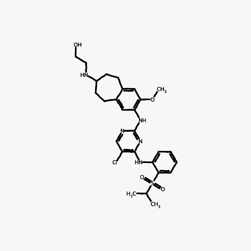 COc1cc2c(cc1Nc1ncc(Cl)c(Nc3ccccc3S(=O)(=O)C(C)C)n1)CCC(NCCO)CC2